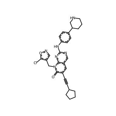 O=c1c(C#CC2CCCC2)cc2cnc(Nc3ccc(C4CCCNC4)cc3)nc2n1Cc1cnoc1Cl